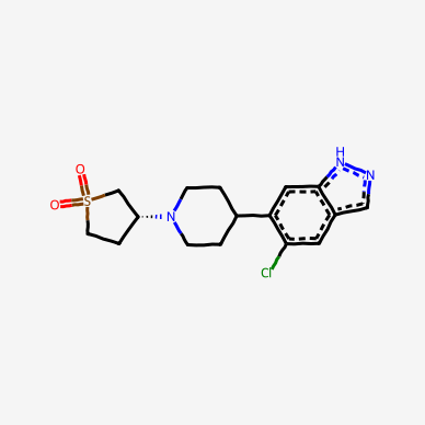 O=S1(=O)CC[C@@H](N2CCC(c3cc4[nH]ncc4cc3Cl)CC2)C1